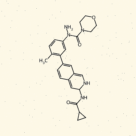 Cc1ccc(N(N)C(=O)N2CCOCC2)cc1-c1ccc2c(c1)=CNC(NC(=O)C1CC1)C=2